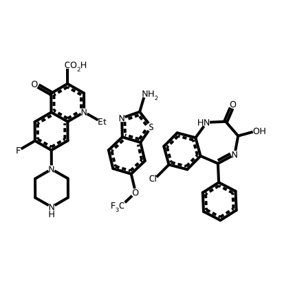 CCn1cc(C(=O)O)c(=O)c2cc(F)c(N3CCNCC3)cc21.Nc1nc2ccc(OC(F)(F)F)cc2s1.O=C1Nc2ccc(Cl)cc2C(c2ccccc2)=NC1O